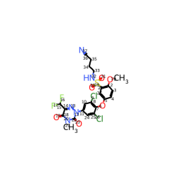 COc1ccc(Oc2c(Cl)cc(-n3nc(C(F)F)c(=O)n(C)c3=O)cc2Cl)cc1S(=O)(=O)NCCCC#N